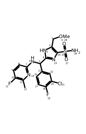 COCc1[nH]c(C(Nc2ccc(F)c(C)n2)c2ccc(F)c(Cl)c2)nc1S(N)(=O)=O